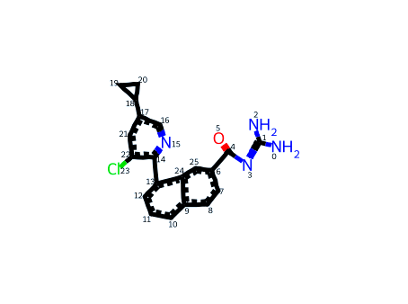 NC(N)=NC(=O)c1ccc2cccc(-c3ncc(C4CC4)cc3Cl)c2c1